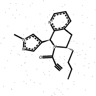 C#CC(=O)N1[C@@H](CCCC)Cc2cccnc2[C@@H]1c1cnn(C)c1